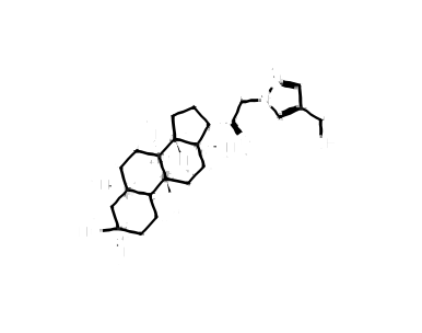 CCc1cnn(CC(=O)[C@H]2CC[C@H]3[C@@H]4CC[C@@H]5C[C@](C)(O)CCC5[C@H]4CC[C@]23C)c1